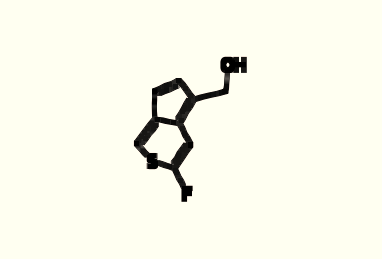 OCc1ccc2csc(F)cc1-2